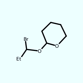 CCC(Br)OC1CCCCO1